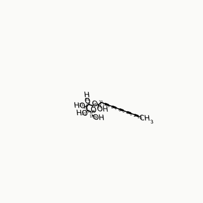 CC#CC#CC#CC#CC#CCC(O)O[C@@H]1O[C@H](CO)[C@@H](O)[C@H](O)[C@H]1O